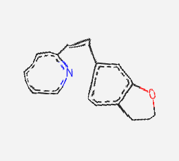 C(=C/c1ccccn1)/c1ccc2c(c1)OCC2